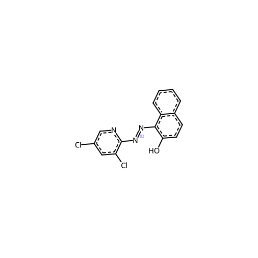 Oc1ccc2ccccc2c1/N=N/c1ncc(Cl)cc1Cl